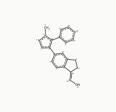 Cn1ncc(-c2ccc3c(c2)CC/C3=N\O)c1-c1ccncc1